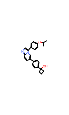 CC(C)Oc1ccc(-c2cnc3ccc(-c4ccc(C5(O)CCC5)cc4)cn23)cc1